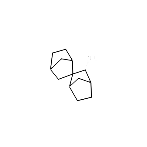 N[C@@H]1C2CCC(C2)C12CC1CCC2C1